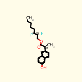 CCCCC[C@@H](F)[C@H](F)COC(=O)[C@@H](C)c1ccc2cc(O)ccc2c1